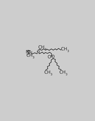 CCCCCCCCCCCCC(C)CN(CCCCCCCC(=O)OC(CCCCCCCC)CCCCCCCC)CCCn1ccnc1C